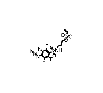 C=CS(=O)(=O)OCCCNS(=O)(=O)c1c(F)c(F)c(N=[N+]=[N-])c(F)c1F